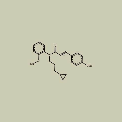 CCCCOc1ccccc1N(CCCC1CC1)C(=O)/C=C/c1ccc(OC)cc1